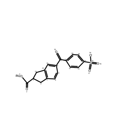 COC(=O)C1Cc2ccc(C(=O)c3ccc(S(=O)(=O)Cl)cc3)cc2C1